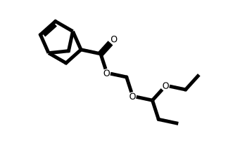 CCOC(CC)OCOC(=O)C1CC2C=CC1C2